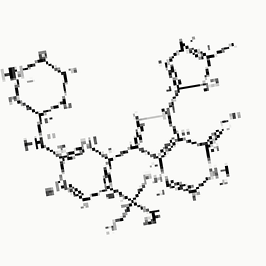 Cc1ncc(-n2cc(-c3nc(NC4CCCNC4)ncc3C(F)(F)F)c3cc[nH]c(=O)c32)s1